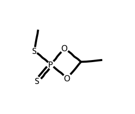 CSP1(=S)OC(C)O1